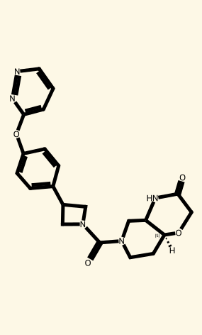 O=C1CO[C@H]2CCN(C(=O)N3CC(c4ccc(Oc5cccnn5)cc4)C3)CC2N1